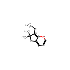 CC1(C)CC2=CC=COC2=C1CC(=O)O